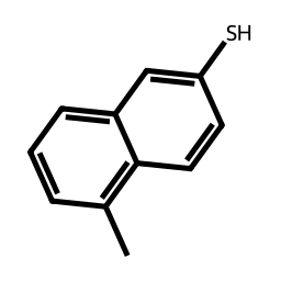 Cc1cccc2cc(S)ccc12